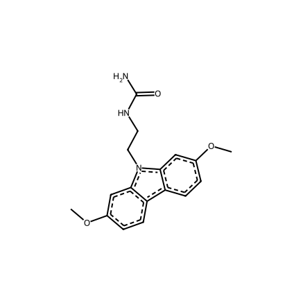 COc1ccc2c3ccc(OC)cc3n(CCNC(N)=O)c2c1